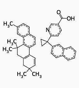 Cc1ccc2ccc3c(c2c1)C(C)(C)CC1=C3C=CC(C)(C)C1.O=C(O)c1ccc(C2(c3ccc4ccccc4c3)CC2)nc1